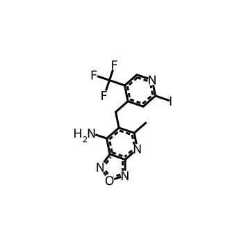 Cc1nc2nonc2c(N)c1Cc1cc(I)ncc1C(F)(F)F